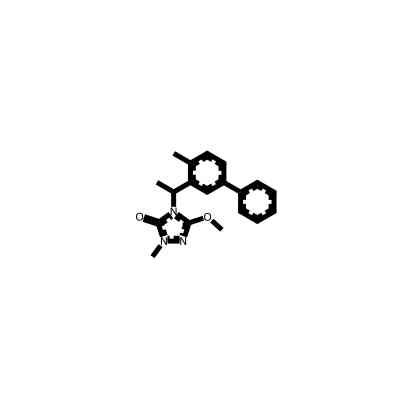 COc1nn(C)c(=O)n1C(C)c1cc(-c2ccccc2)ccc1C